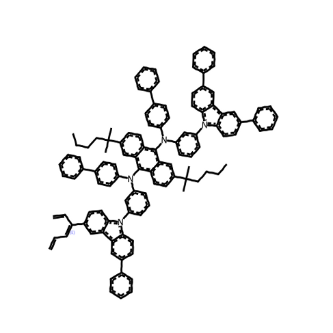 C=C/C=C(\C=C)c1ccc2c(c1)c1cc(-c3ccccc3)ccc1n2-c1cccc(N(c2ccc(-c3ccccc3)cc2)c2c3ccc(C(C)(C)CCCC)cc3c(N(c3ccc(-c4ccccc4)cc3)c3cccc(-n4c5ccc(-c6ccccc6)cc5c5cc(-c6ccccc6)ccc54)c3)c3ccc(C(C)(C)CCCC)cc23)c1